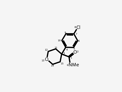 CNC(=O)C1(c2ccc(Cl)cc2)CCOCC1